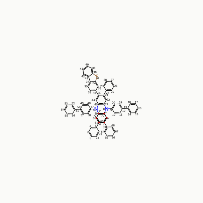 c1ccc(-c2ccc(N(c3ccc(-c4ccccc4)cc3)c3cc(-c4ccccc4)c(-c4ccc5c(c4)sc4ccccc45)cc3N(c3ccc(-c4ccccc4)cc3)c3ccc(-c4ccccc4)cc3)cc2)cc1